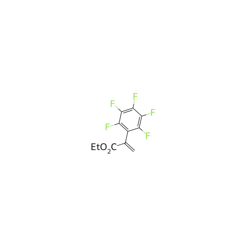 C=C(C(=O)OCC)c1c(F)c(F)c(F)c(F)c1F